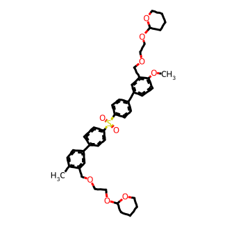 COc1ccc(-c2ccc(S(=O)(=O)c3ccc(-c4ccc(C)c(COCCOC5CCCCO5)c4)cc3)cc2)cc1COCCOC1CCCCO1